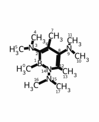 CB1C(N(C)C)=C(C)C(N(C)C)=C(C)N1N(C)C